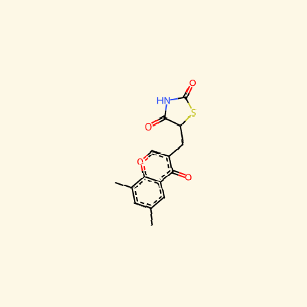 Cc1cc(C)c2occ(CC3SC(=O)NC3=O)c(=O)c2c1